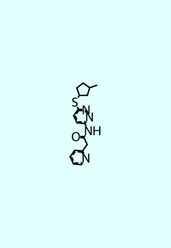 CC1CCC(Sc2ccc(NC(=O)Cc3ccccn3)nn2)C1